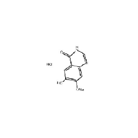 COc1cc2nc[nH]c(=O)c2cc1O.Cl